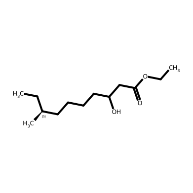 CCOC(=O)CC(O)CCCC[C@@H](C)CC